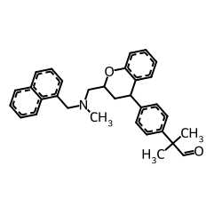 CN(Cc1cccc2ccccc12)CC1CC(c2ccc(C(C)(C)C=O)cc2)c2ccccc2O1